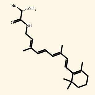 CC[C@H](C)[C@H](N)C(=O)NCC=C(C)C=CC=C(C)C=CC1=C(C)CCCC1(C)C